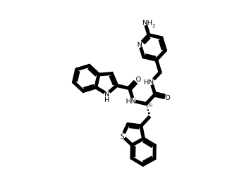 Nc1ccc(CNC(=O)[C@H](Cc2csc3ccccc23)NC(=O)c2cc3ccccc3[nH]2)cn1